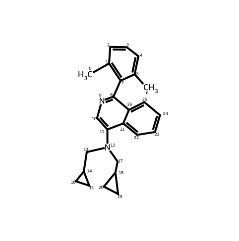 Cc1cccc(C)c1-c1ncc(N(CC2CC2)CC2CC2)c2ccccc12